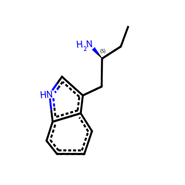 CC[C@H](N)Cc1c[nH]c2ccccc12